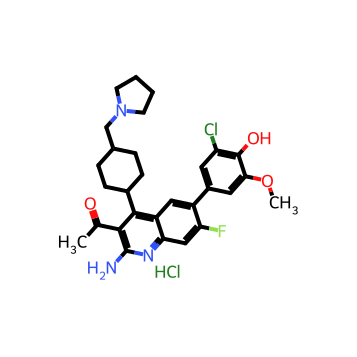 COc1cc(-c2cc3c(C4CCC(CN5CCCC5)CC4)c(C(C)=O)c(N)nc3cc2F)cc(Cl)c1O.Cl